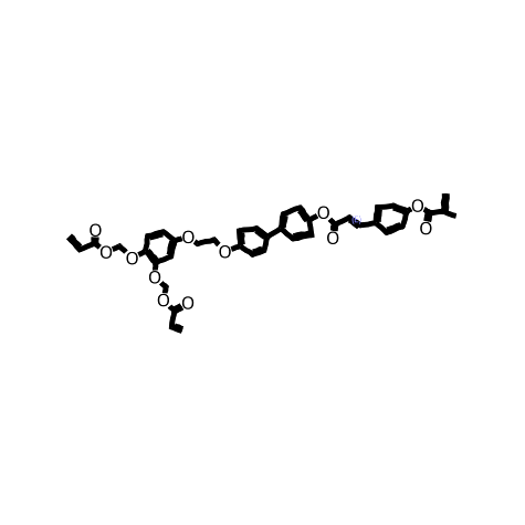 C=CC(=O)OCOc1ccc(OCCOc2ccc(-c3ccc(OC(=O)/C=C/c4ccc(OC(=O)C(=C)C)cc4)cc3)cc2)cc1OCOC(=O)C=C